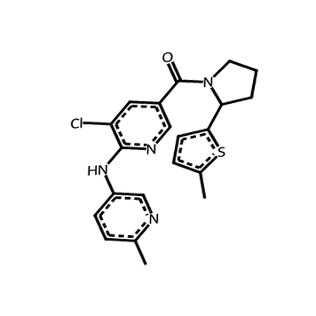 Cc1ccc(Nc2ncc(C(=O)N3CCCC3c3ccc(C)s3)cc2Cl)cn1